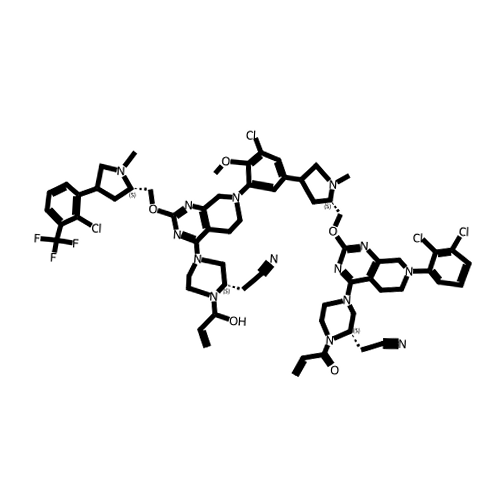 C=CC(=O)N1CCN(c2nc(OC[C@@H]3CC(c4cc(Cl)c(OC)c(N5CCc6c(nc(OC[C@@H]7CC(c8cccc(C(F)(F)F)c8Cl)CN7C)nc6N6CCN(C(O)C=C)[C@@H](CC#N)C6)C5)c4)CN3C)nc3c2CCN(c2cccc(Cl)c2Cl)C3)C[C@@H]1CC#N